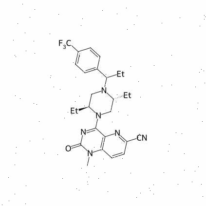 CCC(c1ccc(C(F)(F)F)cc1)N1C[C@H](CC)N(c2nc(=O)n(C)c3ccc(C#N)nc23)C[C@H]1CC